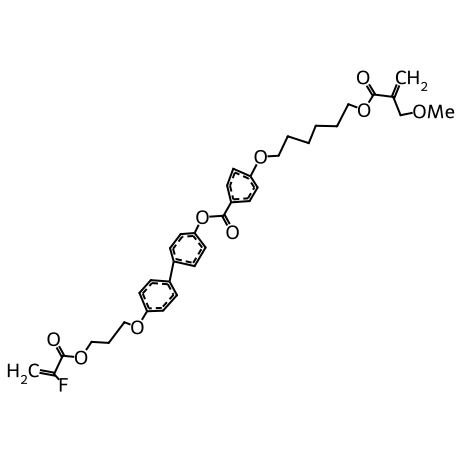 C=C(F)C(=O)OCCCOc1ccc(-c2ccc(OC(=O)c3ccc(OCCCCCCOC(=O)C(=C)COC)cc3)cc2)cc1